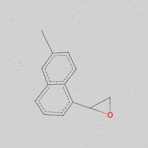 Cc1ccc2c(C3CO3)cccc2c1